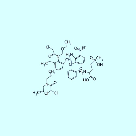 C=CCN(CC=C)C(=O)C(Cl)Cl.CCOCN(C(=O)CCl)c1c(C)cccc1CC.CP(=O)(O)CCC(N)C(=O)O.Nc1c([N+](=O)[O-])ccc(Oc2ccccc2)c1Cl